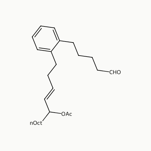 CCCCCCCCC(/C=C/CCc1ccccc1CCCCC=O)OC(C)=O